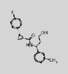 Cc1cccc([C@H](CCO)NC(=O)[C@H]2C[C@@H]2c2ccc(F)cc2)c1